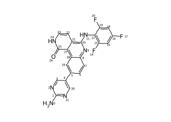 Nc1ncc(-c2ccc3nc(Nc4c(F)cc(F)cc4F)c4cc[nH]c(=O)c4c3c2)cn1